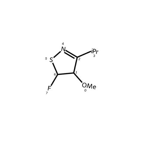 COC1C(C(C)C)=NSC1F